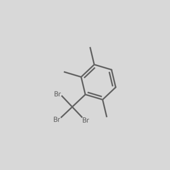 Cc1ccc(C)c(C(Br)(Br)Br)c1C